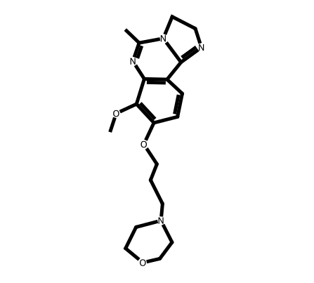 COc1c(OCCCN2CCOCC2)ccc2c1N=C(C)N1CCN=C21